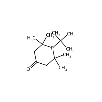 CC(C)(C)P1C(C)(C)CC(=O)CC1(C)C